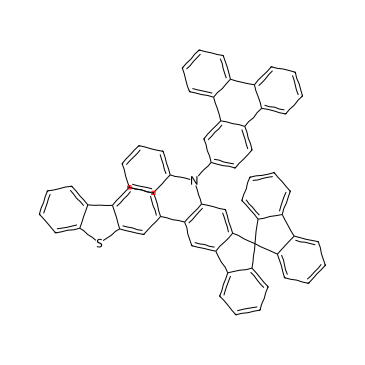 c1ccc(N(c2ccc3c4ccccc4c4ccccc4c3c2)c2cc3c(cc2-c2ccc4c(c2)sc2ccccc24)-c2ccccc2C32c3ccccc3-c3ccccc32)cc1